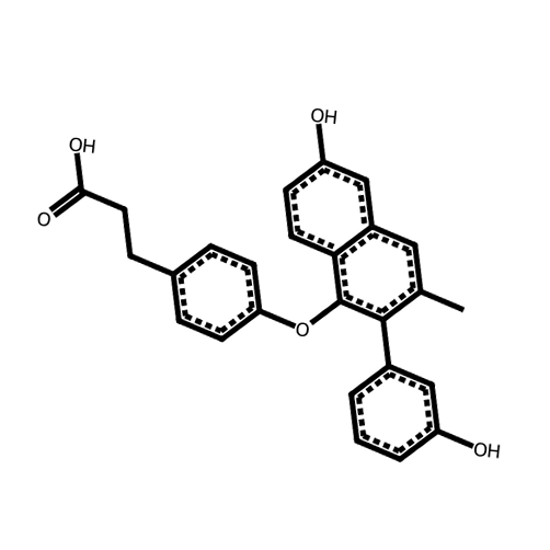 Cc1cc2cc(O)ccc2c(Oc2ccc(CCC(=O)O)cc2)c1-c1cccc(O)c1